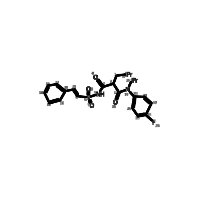 CC(C)CC(C(=O)NS(=O)(=O)C=Cc1ccccc1)C(=O)N(c1ccc(F)cc1)C(C)C